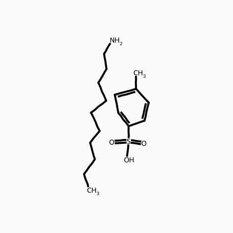 CCCCCCCCCCN.Cc1ccc(S(=O)(=O)O)cc1